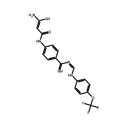 N=C(/N=C\Nc1ccc(OC(F)(F)F)cc1)c1ccc(NC(=O)/C=C(/N)S)cc1